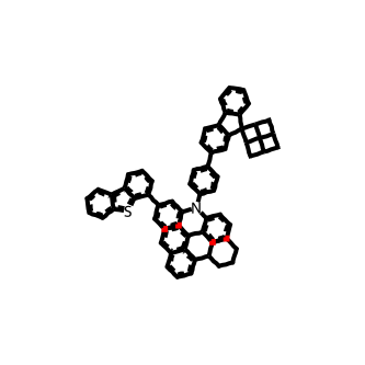 c1cc(-c2cccc3c2sc2ccccc23)cc(N(c2ccc(-c3ccc4c(c3)C3(c5ccccc5-4)C4CC5CC6CC3C564)cc2)c2ccccc2-c2cccc3cccc(C4CCCCC4)c23)c1